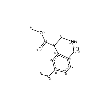 COC(=O)C1CNCc2ccc(OC)cc21.Cl